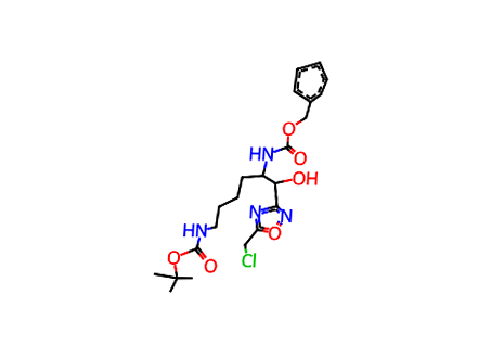 CC(C)(C)OC(=O)NCCCCC(NC(=O)OCc1ccccc1)C(O)c1noc(CCl)n1